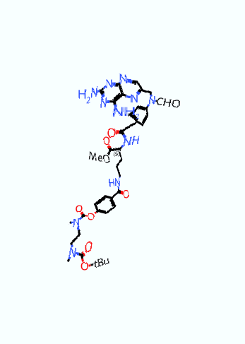 COC(=O)[C@H](CCCNC(=O)c1ccc(OC(=O)N(C)CCN(C)C(=O)OC(C)(C)C)cc1)NC(=O)c1ccc(N(C=O)Cc2cnc3nc(N)nc(N)c3n2)cc1